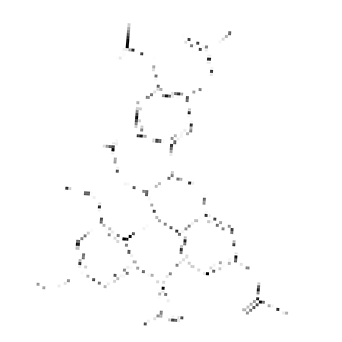 COc1cc(OC)c([C@@H]2c3c(OC(C)=O)cc(OC(C)=O)cc3OC(c3ccc(OC(C)=O)c(OC(C)=O)c3)C2OC(C)=O)c(OC)c1